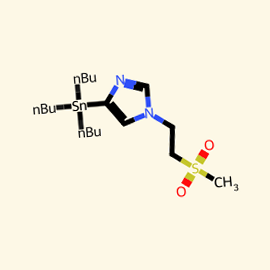 CCC[CH2][Sn]([CH2]CCC)([CH2]CCC)[c]1cn(CCS(C)(=O)=O)cn1